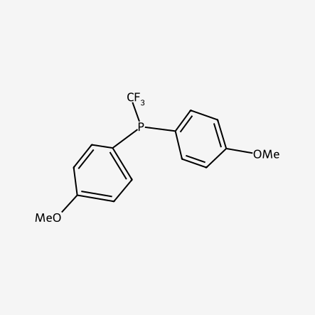 COc1ccc(P(c2ccc(OC)cc2)C(F)(F)F)cc1